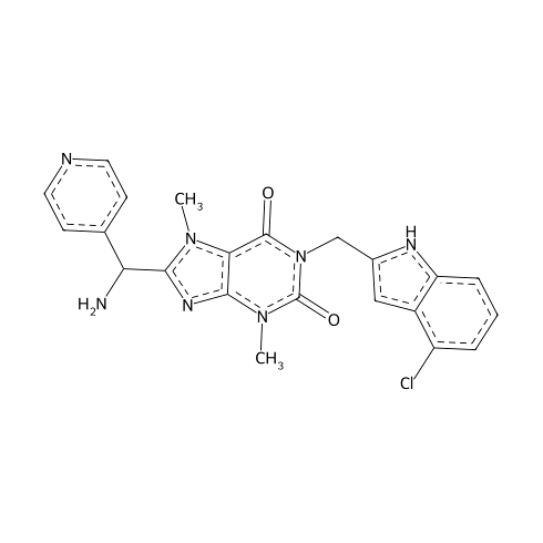 Cn1c(C(N)c2ccncc2)nc2c1c(=O)n(Cc1cc3c(Cl)cccc3[nH]1)c(=O)n2C